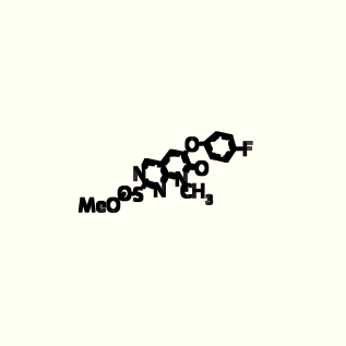 COOSc1ncc2cc(Oc3ccc(F)cc3)c(=O)n(C)c2n1